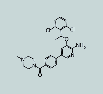 CC(Oc1cc(-c2ccc(C(=O)N3CCN(C)CC3)cc2)cnc1N)c1c(Cl)cccc1Cl